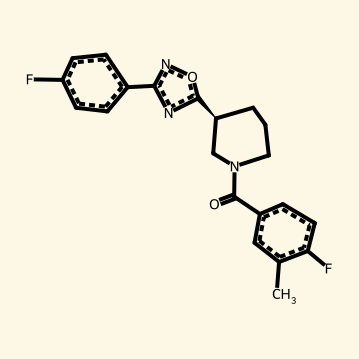 Cc1cc(C(=O)N2CCC[C@H](c3nc(-c4ccc(F)cc4)no3)C2)ccc1F